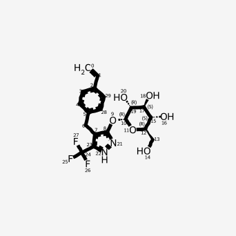 C=Cc1ccc(Cc2c(O[C@H]3O[C@H](CO)[C@@H](O)[C@H](O)[C@H]3O)n[nH]c2C(F)(F)F)cc1